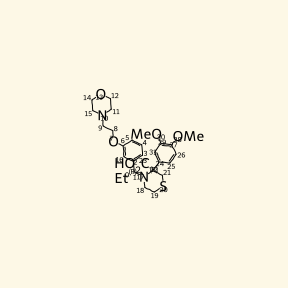 CC[C@H](c1cccc(OCCN2CCOCC2)c1)N1CCSC[C@]1(C(=O)O)c1ccc(OC)c(OC)c1